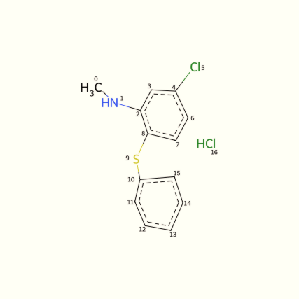 CNc1cc(Cl)ccc1Sc1ccccc1.Cl